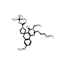 CCn1c(SCCOC)nc2c(c1=O)C1(CCN(C(=O)OC(C)(C)C)C1)Cc1cc(OC)ccc1-2